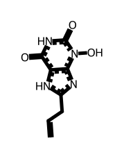 C=CCc1nc2c([nH]1)c(=O)[nH]c(=O)n2O